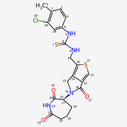 Cc1ccc(NC(=S)NCc2scc3c2CN([C@H]2CCCC(=O)NC2=O)C3=O)cc1Cl